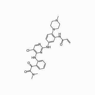 C=CC(=O)Nc1cc(Nc2ncc(Cl)c(Nc3ccccc3C(=O)C(=O)N(C)C)n2)ccc1N1CCN(C)CC1